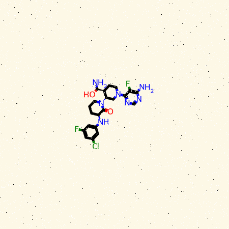 Nc1ncnc(N2CC[C@H](C(N)O)[C@@H](N3CCC[C@H](Nc4cc(F)cc(Cl)c4)C3=O)C2)c1F